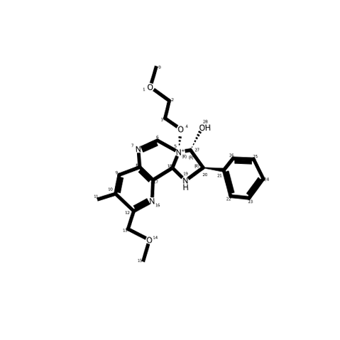 COCCO[N@@+]12C=Nc3cc(C)c(COC)nc3C1N[C@H](c1ccccc1)[C@H]2O